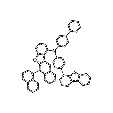 c1ccc(-c2ccc(N(c3ccc(-c4cccc5c4sc4ccccc45)cc3)c3cccc4oc5c(-c6cccc7ccccc67)c6ccccc6cc5c34)cc2)cc1